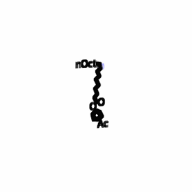 CCCCCCCC/C=C\CCCCCCCC(=O)Oc1ccc(C(C)=O)cc1